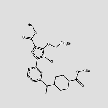 CCOC(=O)COc1c(C(=O)OC(C)(C)C)sc(-c2cccc(N(C)C3CCN(C(=O)OC(C)(C)C)CC3)c2)c1Cl